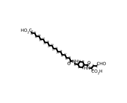 O=CCC[C@H](NC(=O)C1CCC(CNC(=O)CCCCCCCCCCCCCCCCCCC(=O)O)CC1)C(=O)O